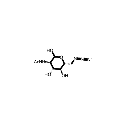 CC(=O)N[C@H]1C(O)O[C@H](CN=[N+]=[N-])[C@@H](O)[C@@H]1O